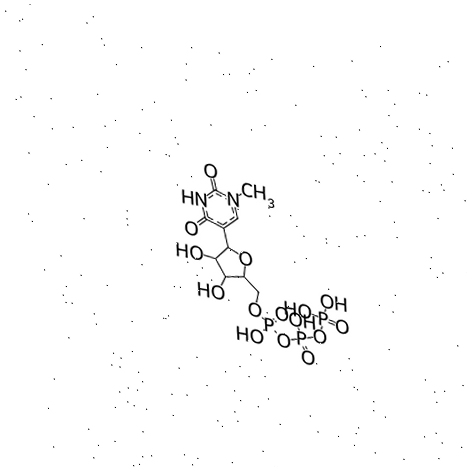 Cn1cc(C2OC(COP(=O)(O)OP(=O)(O)OP(=O)(O)O)C(O)C2O)c(=O)[nH]c1=O